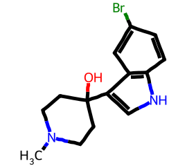 CN1CCC(O)(c2c[nH]c3ccc(Br)cc23)CC1